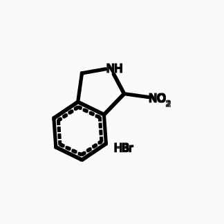 Br.O=[N+]([O-])C1NCc2ccccc21